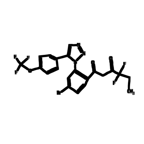 CCC(F)(F)C(=O)CC(=O)c1ccc(Br)cc1-n1nncc1-c1ccc(OC(F)(F)F)cc1